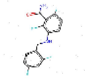 NC(=O)c1c(F)ccc(NCc2ccc(F)cc2F)c1F